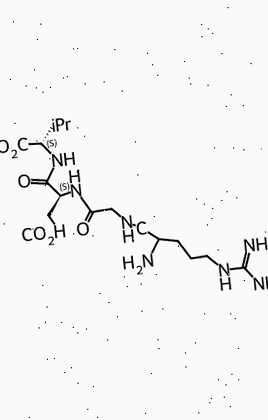 CC(C)[C@H](NC(=O)[C@H](CC(=O)O)NC(=O)CNCC(N)CCCNC(=N)N)C(=O)O